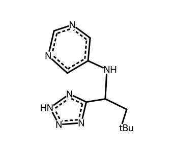 CC(C)(C)CC(Nc1cncnc1)c1nn[nH]n1